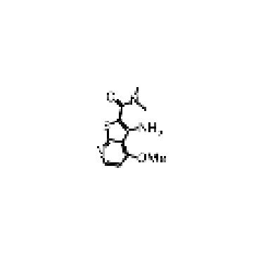 COc1ccnc2sc(C(=O)N(C)C)c(N)c12